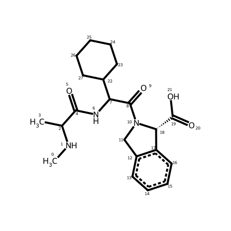 CNC(C)C(=O)NC(C(=O)N1Cc2ccccc2[C@H]1C(=O)O)C1CCCCC1